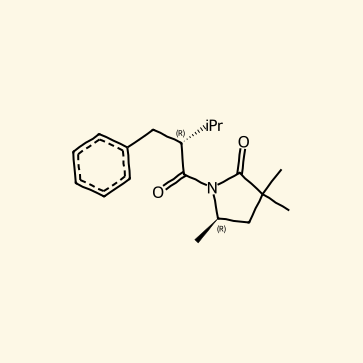 CC(C)[C@@H](Cc1ccccc1)C(=O)N1C(=O)C(C)(C)C[C@H]1C